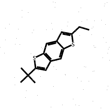 CCc1cc2cc3sc(C(C)(C)C)cc3cc2s1